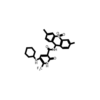 Cc1ccc2c(c1)S(=O)(=O)c1cc(C)ccc1C2NC(=O)c1cc(NC2CCCCC2)c(C(F)(F)F)[nH]c1=O